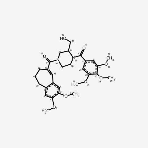 COc1cc2c(cc1OC)CCCC(C(=O)N1CCN(C(=O)c3cc(OC)c(OC)c(OC)c3)C(CO)C1)=C2